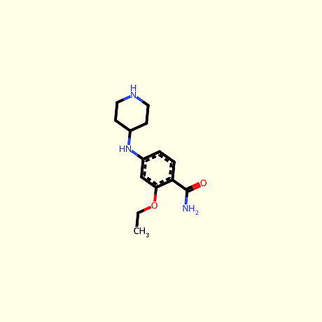 CCOc1cc(NC2CCNCC2)ccc1C(N)=O